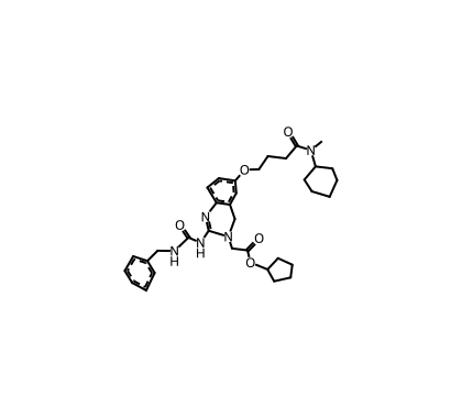 CN(C(=O)CCCOc1ccc2c(c1)CN(CC(=O)OC1CCCC1)C(NC(=O)NCc1ccccc1)=N2)C1CCCCC1